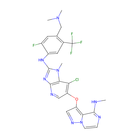 CNc1nccn2ncc(Oc3cnc4nc(Nc5cc(C(F)(F)F)c(CN(C)C)cc5F)n(C)c4c3Cl)c12